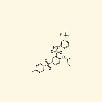 CCC(C)Oc1ccc(S(=O)(=O)c2ccc(C)cc2)cc1S(=O)(=O)Nc1cccc(C(F)(F)F)c1